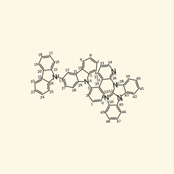 c1ccc(-n2c3ccccc3c3cc(-n4c5ccccc5c5ccccc54)ccc32)c(-c2cccnc2-n2c3ccccc3n3c4ccccc4nc23)c1